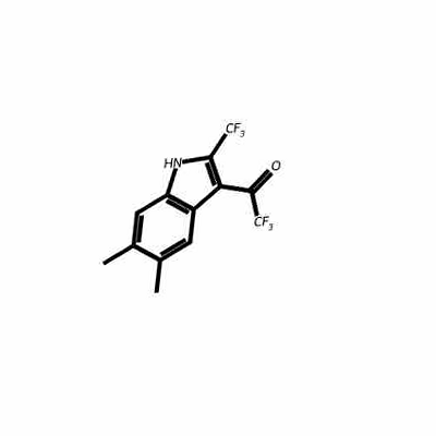 Cc1cc2[nH]c(C(F)(F)F)c(C(=O)C(F)(F)F)c2cc1C